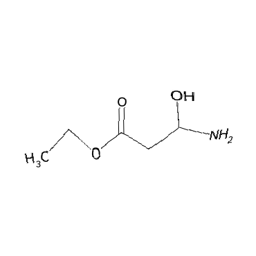 CCOC(=O)CC(N)O